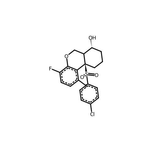 O=S(=O)(c1ccc(Cl)cc1)[C@]12CCC[C@@H](O)C1COc1c(F)ccc(F)c12